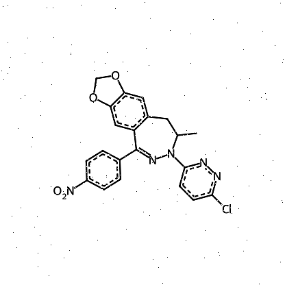 CC1Cc2cc3c(cc2C(c2ccc([N+](=O)[O-])cc2)=NN1c1ccc(Cl)nn1)OCO3